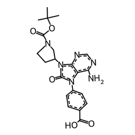 CC(C)(C)OC(=O)N1CCC(n2c(=O)n(-c3ccc(C(=O)O)cc3)c3c(N)ncnc32)C1